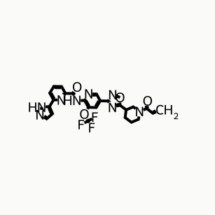 C=CC(=O)N1CCCC(c2nc(-c3cnc(NC(=O)c4cccc(-c5ccn[nH]5)n4)c(OC(F)(F)F)c3)no2)C1